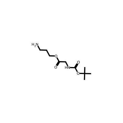 CC(C)(C)OC(=O)NCC(=O)OCCCN